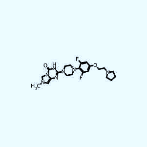 CN1C=C2N=C(N3CCN(c4c(F)cc(OCCN5CCCC5)cc4F)CC3)NC(=O)N2C1